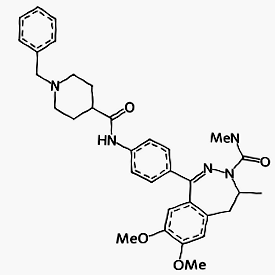 CNC(=O)N1N=C(c2ccc(NC(=O)C3CCN(Cc4ccccc4)CC3)cc2)c2cc(OC)c(OC)cc2CC1C